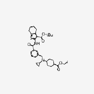 CC(C)(C)OC(=O)c1c(NC(=O)c2cccc(CN(C3CCC(C(=O)OCI)CC3)C3CC3)c2)sc2c1CCCC2